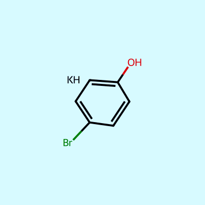 Oc1ccc(Br)cc1.[KH]